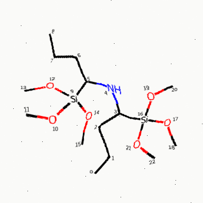 CCCC(NC(CCC)[Si](OC)(OC)OC)[Si](OC)(OC)OC